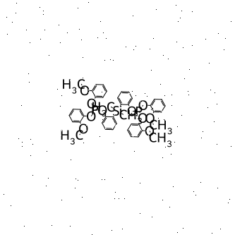 COc1ccccc1OP(Oc1ccccc1OC)Oc1ccccc1[Si](C)(C)c1ccccc1OP(Oc1ccccc1OC)Oc1ccccc1OC